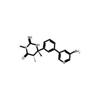 Bc1cncc(-c2cccc([C@@]3(C)NC(=N)N(C)C(=O)[C@H]3C)c2)c1